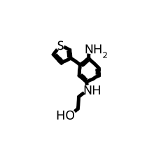 Nc1ccc(NCCO)cc1-c1ccsc1